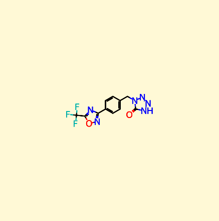 O=c1[nH]nnn1Cc1ccc(-c2noc(C(F)(F)F)n2)cc1